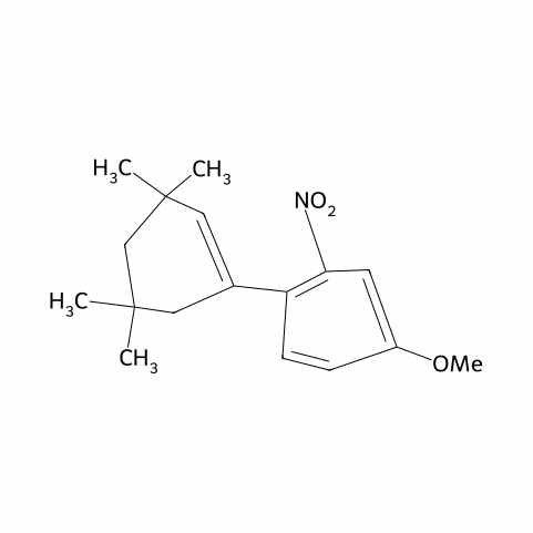 COc1ccc(C2=CC(C)(C)CC(C)(C)C2)c([N+](=O)[O-])c1